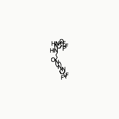 CC(F)(F)c1ccc(N2CCN(C(=O)CCCNc3cc(C(F)(F)F)c(=O)[nH]n3)CC2)nc1